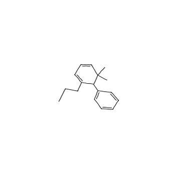 CCCC1=CC=CC(C)(C)C1c1ccccc1